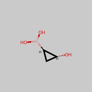 OB(O)[C@@H]1C[C@H]1O